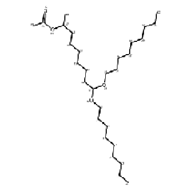 CCCCCCCCCOC(CCCCCCC(C)OC(C)=O)OCCCCCCCCC